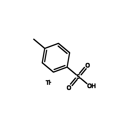 Cc1ccc(S(=O)(=O)O)cc1.[Tl]